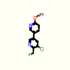 CC(C)Oc1ccc(-c2cnc(CF)c(Cl)c2)cn1